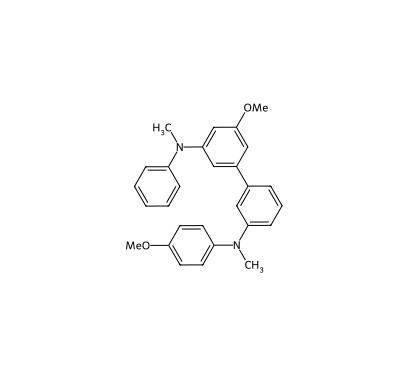 COc1ccc(N(C)c2cccc(-c3cc(OC)cc(N(C)c4ccccc4)c3)c2)cc1